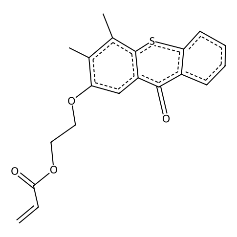 C=CC(=O)OCCOc1cc2c(=O)c3ccccc3sc2c(C)c1C